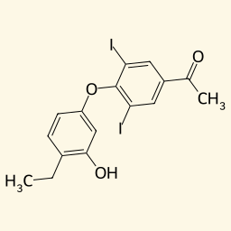 CCc1ccc(Oc2c(I)cc(C(C)=O)cc2I)cc1O